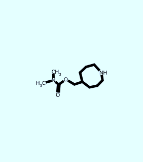 CN(C)C(=O)OCC1CCCNCCC1